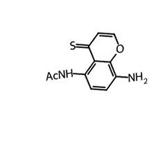 CC(=O)Nc1ccc(N)c2occc(=S)c12